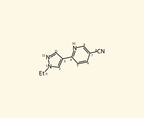 CCn1cc(-c2ccc(C#N)cn2)cn1